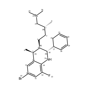 C[C@H](CC[C@@H]1[C@H](C)c2cc(Br)cc(F)c2N[C@H]1C1C=CC=CC1)CN(C)C